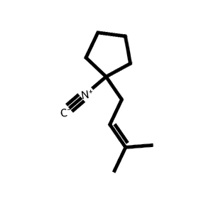 [C-]#[N+]C1(CC=C(C)C)CCCC1